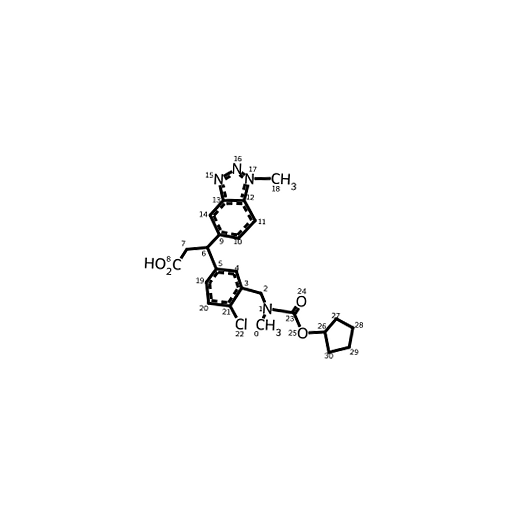 CN(Cc1cc(C(CC(=O)O)c2ccc3c(c2)nnn3C)ccc1Cl)C(=O)OC1CCCC1